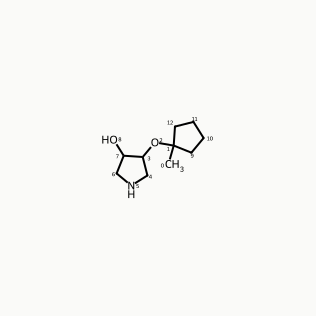 CC1(OC2CNCC2O)CCCC1